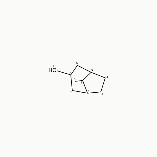 CC1C2CCC1CC(O)C2